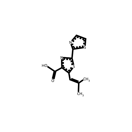 CC(C)=Cc1sc(-c2nccs2)nc1C(=O)O